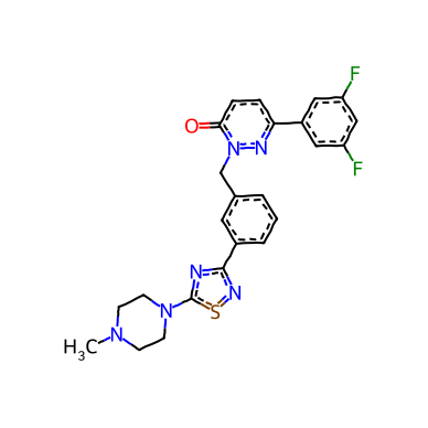 CN1CCN(c2nc(-c3cccc(Cn4nc(-c5cc(F)cc(F)c5)ccc4=O)c3)ns2)CC1